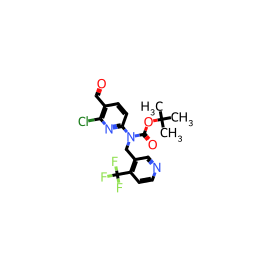 CC(C)(C)OC(=O)N(Cc1cnccc1C(F)(F)F)c1ccc(C=O)c(Cl)n1